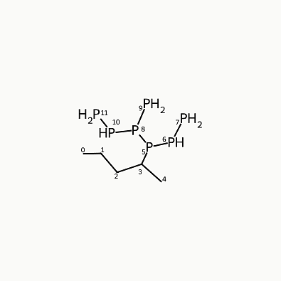 CCCC(C)P(PP)P(P)PP